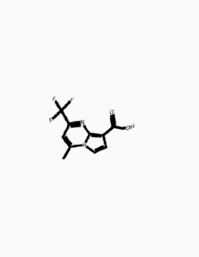 Cc1cc(C(F)(F)F)nc2c(C(=O)O)ccn12